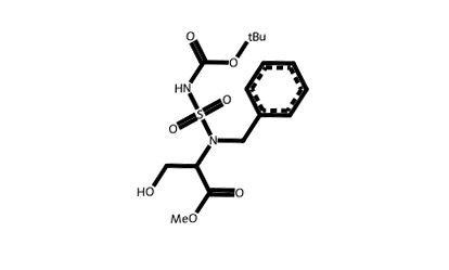 COC(=O)C(CO)N(Cc1ccccc1)S(=O)(=O)NC(=O)OC(C)(C)C